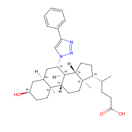 CC(CCC(=O)O)[C@H]1CC[C@H]2[C@@H]3[C@@H](n4cc(-c5ccccc5)nn4)C[C@@H]4C[C@H](O)CC[C@]4(C)[C@H]3CC[C@]12C